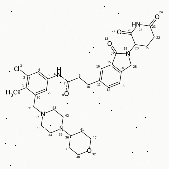 Cc1c(Cl)cc(NC(=O)CCc2ccc3c(c2)C(=O)N(C2CCC(=O)NC2=O)C3)cc1CN1CCN(C2CCOCC2)CC1